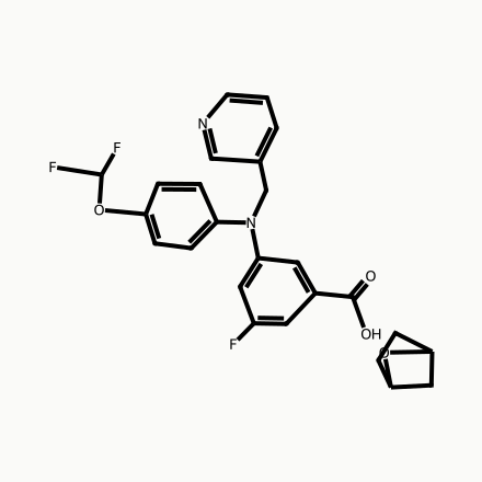 C1CC2CC1O2.O=C(O)c1cc(F)cc(N(Cc2cccnc2)c2ccc(OC(F)F)cc2)c1